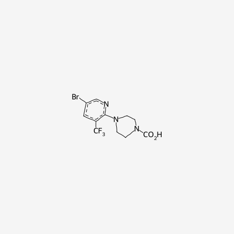 O=C(O)N1CCN(c2ncc(Br)cc2C(F)(F)F)CC1